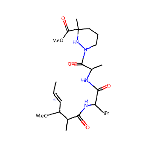 C/C=C/C(OC)C(C)C(=O)NC(C(=O)NC(C)C(=O)N1CCCC(C)(C(=O)OC)N1)C(C)C